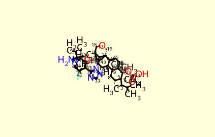 CC(C)[C@@H](C)[C@@]1(C)CC[C@]2(C)[C@H]3CC[C@@H]4[C@@]5(COC[C@@]4(C)[C@@H](OC[C@](C)(N)C(C)C)[C@H](n4ncnc4-c4ccncc4F)C5)C3=CC[C@]2(C)[C@@H]1OC(=O)O